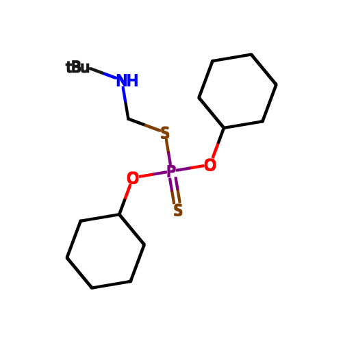 CC(C)(C)NCSP(=S)(OC1CCCCC1)OC1CCCCC1